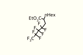 CCCCCCC(CC(F)(F)C(F)(F)C(F)(F)C(F)(F)F)C(=O)OCC